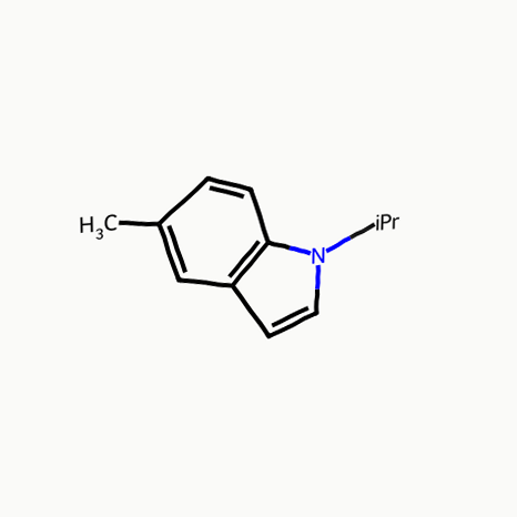 Cc1ccc2c(ccn2C(C)C)c1